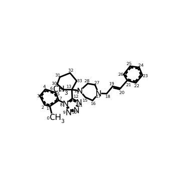 Cc1cccc(C)c1-n1nnnc1C1(N2CCN(C/C=C/c3ccccc3)CC2)CCCCC1